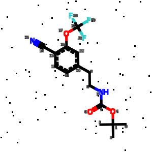 CC(C)(C)OC(=O)NCCc1ccc(C#N)c(OC(F)(F)F)c1